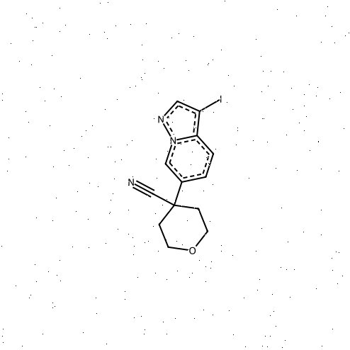 N#CC1(c2ccc3c(I)cnn3c2)CCOCC1